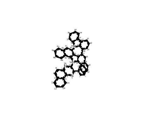 c1ccc(-c2nc3c(ccc4ccccc43)nc2-n2c3c4ccccc4cc4c5cccc6c7ccccc7n(c7cc8ccccc8c2c7c43)c56)cc1